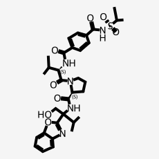 CC(C)[C@H](NC(=O)c1ccc(C(=O)NS(=O)(=O)C(C)C)cc1)C(=O)N1CCC[C@H]1C(=O)NC(CO)(c1nc2ccccc2o1)C(C)C